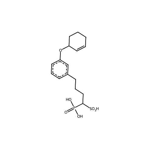 O=P(O)(O)C(CCCc1cccc(OC2C=CCCC2)c1)S(=O)(=O)O